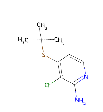 CC(C)(C)Sc1ccnc(N)c1Cl